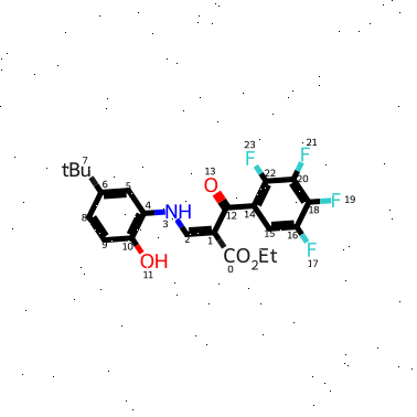 CCOC(=O)/C(=C/Nc1cc(C(C)(C)C)ccc1O)C(=O)c1cc(F)c(F)c(F)c1F